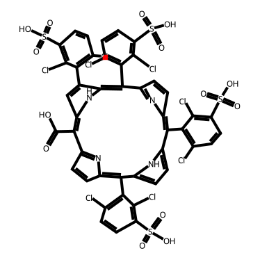 O=C(O)c1c2nc(c(-c3c(Cl)ccc(S(=O)(=O)O)c3Cl)c3ccc([nH]3)c(-c3c(Cl)ccc(S(=O)(=O)O)c3Cl)c3nc(c(-c4c(Cl)ccc(S(=O)(=O)O)c4Cl)c4[nH]c1cc4-c1c(Cl)ccc(S(=O)(=O)O)c1Cl)C=C3)C=C2